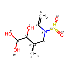 C=CN(C[C@@H](C)C(O)C(O)O)[SH](=O)=O